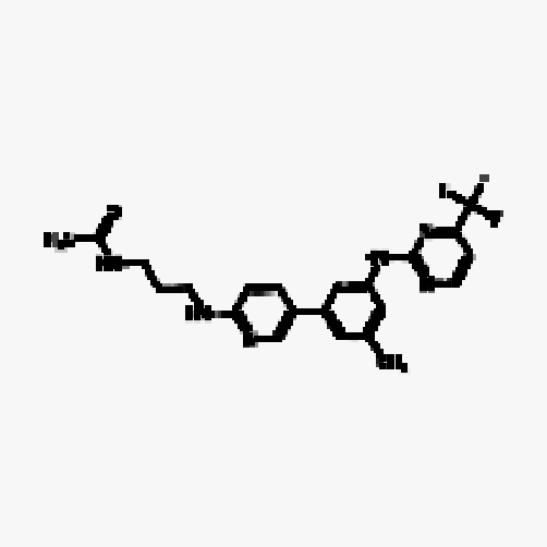 CC(=O)NCCCNc1ccc(-c2cc(C)cc(Nc3nccc(C(F)(F)F)n3)c2)cn1